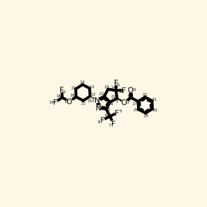 O=C(O[C@H]1c2c(C(F)(F)F)nn([C@H]3CCCC(OC(F)F)C3)c2CC1(F)F)c1ccccc1